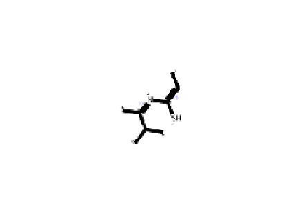 C/C=C(S)\N=C(\C)C(C)C